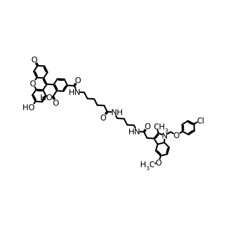 COC1=CC2C(CC(=O)NCCCCNC(=O)CCCCCNC(=O)c3ccc(-c4c5ccc(=O)cc-5oc5cc(O)ccc45)c(C(=O)O)c3)=C(C)N(COc3ccc(Cl)cc3)C2C=C1